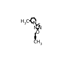 CC#CCOc1nsc(N2CCCC(C)C2)n1